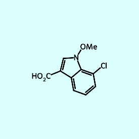 COn1cc(C(=O)O)c2cccc(Cl)c21